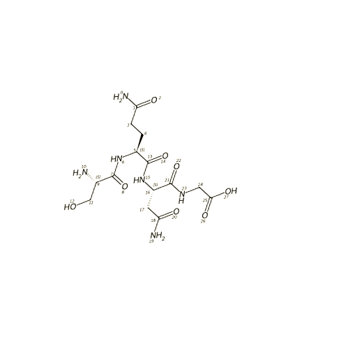 NC(=O)CC[C@H](NC(=O)[C@@H](N)CO)C(=O)N[C@@H](CC(N)=O)C(=O)NCC(=O)O